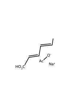 C/C=C/C=C/C(=O)O.CC(=O)[O-].[Na+]